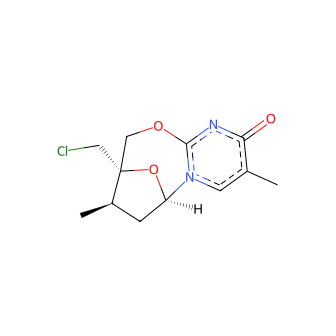 Cc1cn2c(nc1=O)OC[C@@]1(CCl)O[C@@H]2C[C@H]1C